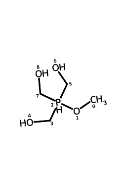 CO[PH](CO)(CO)CO